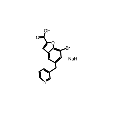 O=C(O)c1cc2cc(Cc3cccnc3)cc(Br)c2o1.[NaH]